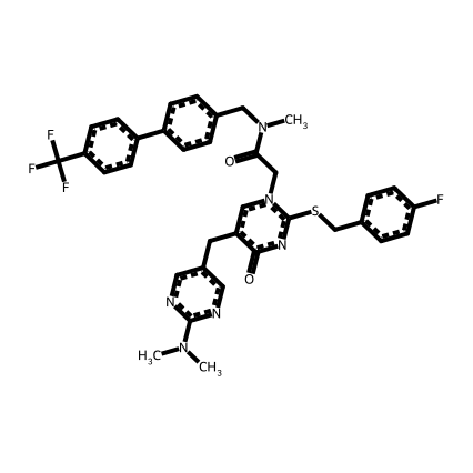 CN(Cc1ccc(-c2ccc(C(F)(F)F)cc2)cc1)C(=O)Cn1cc(Cc2cnc(N(C)C)nc2)c(=O)nc1SCc1ccc(F)cc1